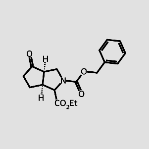 CCOC(=O)C1[C@H]2CCC(=O)[C@H]2CN1C(=O)OCc1ccccc1